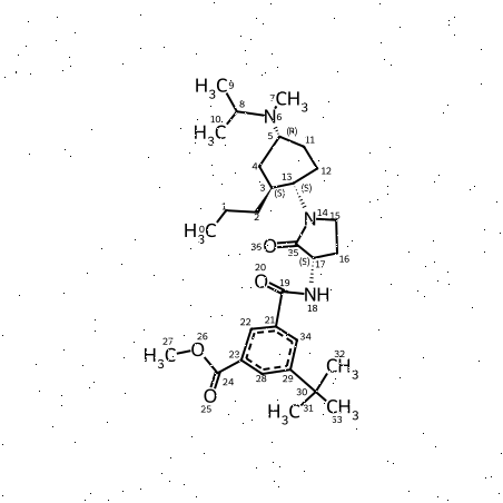 CCC[C@H]1C[C@H](N(C)C(C)C)CC[C@@H]1N1CC[C@H](NC(=O)c2cc(C(=O)OC)cc(C(C)(C)C)c2)C1=O